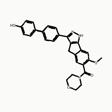 COc1cc2c(cc1C(=O)N1CCOCC1)Cc1c(-c3ccc(-c4ccc(O)cc4)cc3)n[nH]c1-2